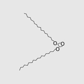 CCCCCCCCCCCCCCCCCCO[C@H]1COC[C@H]1OCCCCCCCCCCCCCCCCCC